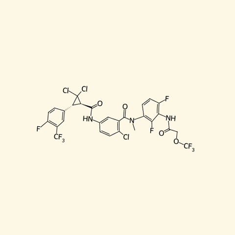 CN(C(=O)c1cc(NC(=O)[C@H]2[C@H](c3ccc(F)c(C(F)(F)F)c3)C2(Cl)Cl)ccc1Cl)c1ccc(F)c(NC(=O)COC(F)(F)F)c1F